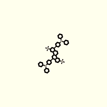 C[Si](C)(C)c1ccc2c(-c3ccc(N(c4ccccc4)c4ccccc4)cc3)cc3c4cc([Si](C)(C)C)cc(-c5ccc(N(c6ccccc6)c6ccccc6)cc5)c4ccc3c2c1